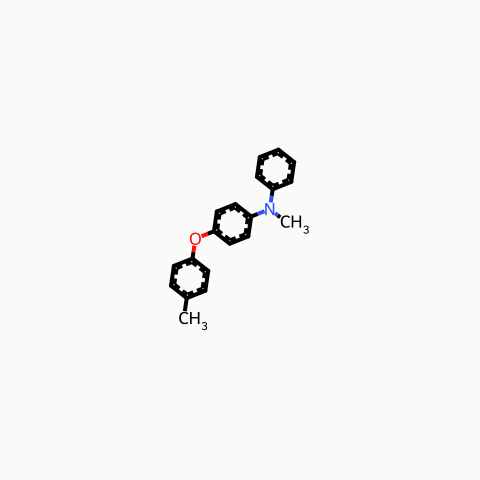 Cc1ccc(Oc2ccc(N(C)c3ccccc3)cc2)cc1